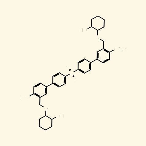 COc1ccc(-c2ccc(S(=O)(=O)c3ccc(-c4ccc(C)c(COC5CCCCC5O)c4)cc3)cc2)cc1COC1CCCCC1O